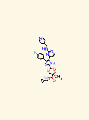 CC1(C(=O)NCC2CC2)COC(c2nc(-c3ccc(F)cc3)c(-c3ccnc(NCc4ccncc4)n3)[nH]2)OC1